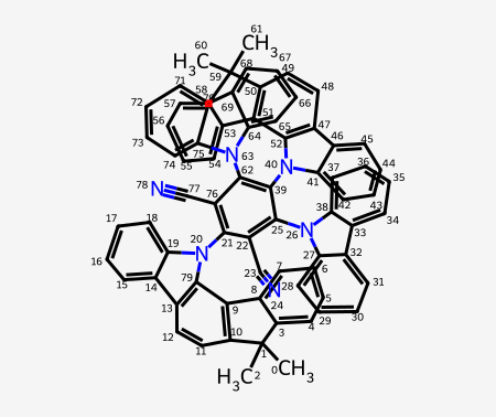 CC1(C)c2ccccc2-c2c1ccc1c3ccccc3n(-c3c(C#N)c(-n4c5ccccc5c5ccccc54)c(-n4c5ccccc5c5ccc6c(c54)-c4ccccc4C6(C)C)c(-n4c5ccccc5c5ccccc54)c3C#N)c21